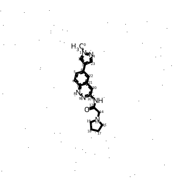 Cn1cc(-c2ccc3nnc(NC(=O)CN4CCCC4)cc3c2)cn1